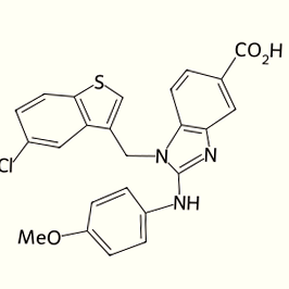 COc1ccc(Nc2nc3cc(C(=O)O)ccc3n2Cc2csc3ccc(Cl)cc23)cc1